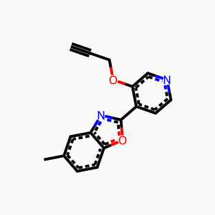 C#CCOc1cnccc1-c1nc2cc(C)ccc2o1